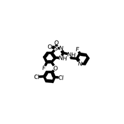 O=S1(=O)N=C(NCc2ncccc2F)Nc2c1ccc(F)c2Oc1cc(Cl)ccc1Cl